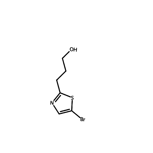 OCCCc1ncc(Br)s1